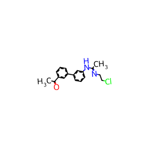 CC(=O)c1cccc(-c2cccc(NC(C)=NCCCl)c2)c1